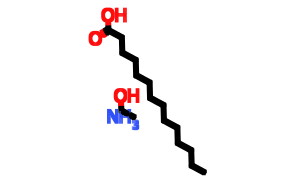 CCCCCCCCCCCCCC(=O)O.CCO.N